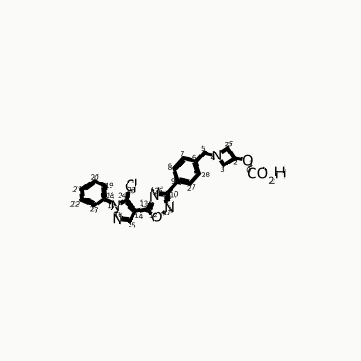 O=C(O)OC1CN(Cc2ccc(-c3noc(-c4cnn(-c5ccccc5)c4Cl)n3)cc2)C1